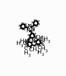 Cc1c(C)c(C)c2c(c1C)Cc1c(C)c(C)c(C)c(C)c1N2c1ccc(-c2nc(-c3ccccc3)nc(-c3ccccc3)n2)cc1C#N